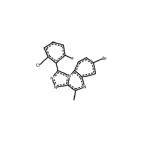 Cc1nc2cc(Br)ccc2n2c(-c3c(F)cccc3Cl)nnc12